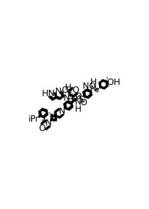 CC(C)c1ccccc1[C@@H]1COCCN1[C@@H]1CC2(CCN(c3ccc(C(=O)NS(=O)(=O)c4ccc(NC[C@H]5CC[C@](C)(O)CC5)c([N+](=O)[O-])c4)c(N4c5cc6cc[nH]c6nc5O[C@H]5COCC[C@@H]54)c3)CC2)[C@H]1C